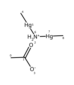 CC(=O)[O-].[CH3][Hg][NH2+][Hg][CH3]